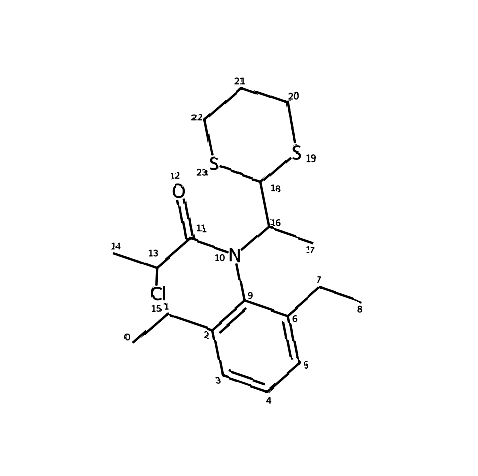 CCc1cccc(CC)c1N(C(=O)C(C)Cl)C(C)C1SCCCS1